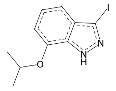 CC(C)Oc1cccc2c(I)n[nH]c12